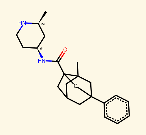 C[C@H]1C[C@@H](NC(=O)C23CC4CC(c5ccccc5)(CC2(C)C4)C3)CCN1